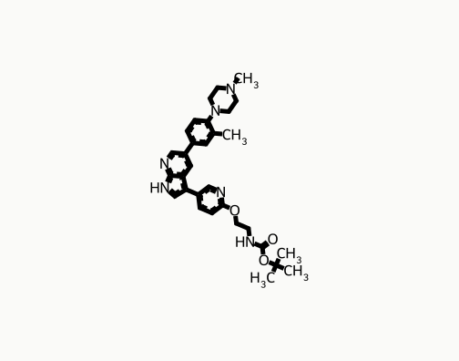 Cc1cc(-c2cnc3[nH]cc(-c4ccc(OCCNC(=O)OC(C)(C)C)nc4)c3c2)ccc1N1CCN(C)CC1